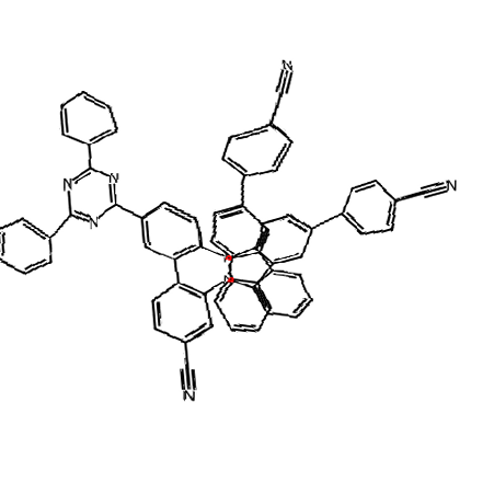 N#Cc1ccc(-c2ccc3c(c2)c2ccccc2n3-c2ccc(-c3nc(-c4ccccc4)nc(-c4ccccc4)n3)cc2-c2ccc(C#N)cc2-n2c3ccccc3c3cc(-c4ccc(C#N)cc4)ccc32)cc1